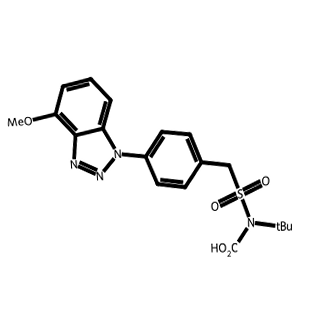 COc1cccc2c1nnn2-c1ccc(CS(=O)(=O)N(C(=O)O)C(C)(C)C)cc1